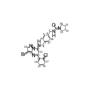 O=C(NCc1ccc(CNc2cc(-c3ccccc3Cl)nc3c(Br)cnn23)cc1)N1CCCC1